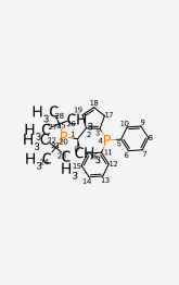 C[C@H](C1=C(P(c2ccccc2)c2ccccc2)CC=C1)P(C(C)(C)C)C(C)(C)C